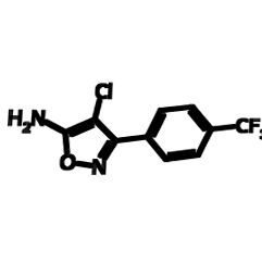 Nc1onc(-c2ccc(C(F)(F)F)cc2)c1Cl